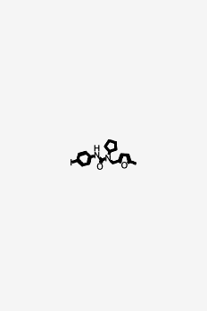 Cc1ccc(CN(C(=O)Nc2ccc(I)cc2)C2CCCC2)o1